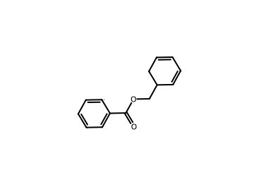 O=C(OCC1C=CC=CC1)c1[c]cccc1